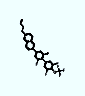 C=CCCc1ccc2cc(-c3cc(F)c(-c4cc(F)c(OC(F)(F)F)c(F)c4)c(F)c3)ccc2c1